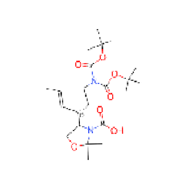 CC=C[C@H](CCN(C(=O)OC(C)(C)C)C(=O)OC(C)(C)C)C1COC(C)(C)N1C(=O)O